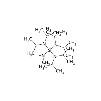 CN[Si](N(C(C)C)C(C)C)(N(C(C)C)C(C)C)N(C(C)C)C(C)C